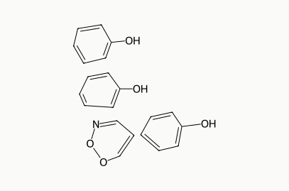 C1=COON=C1.Oc1ccccc1.Oc1ccccc1.Oc1ccccc1